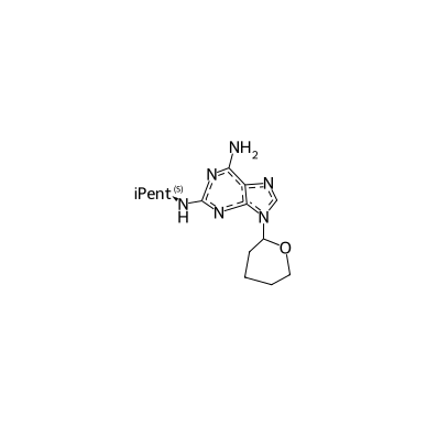 CCC[C@H](C)Nc1nc(N)c2ncn(C3CCCCO3)c2n1